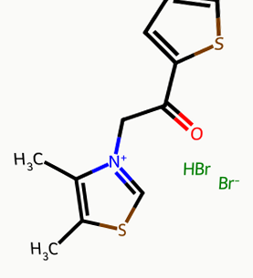 Br.Cc1sc[n+](CC(=O)c2cccs2)c1C.[Br-]